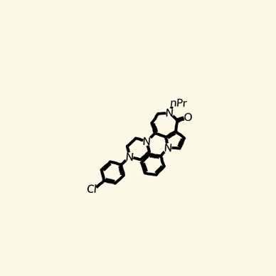 CCCN1CC=C(N2CCN(c3ccc(Cl)cc3)CC2)c2c(ccn2-c2ccccc2)C1=O